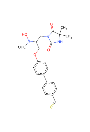 CC1(C)NC(=O)N(CC(COc2ccc(-c3ccc(C=S)cc3)cc2)N(O)C=O)C1=O